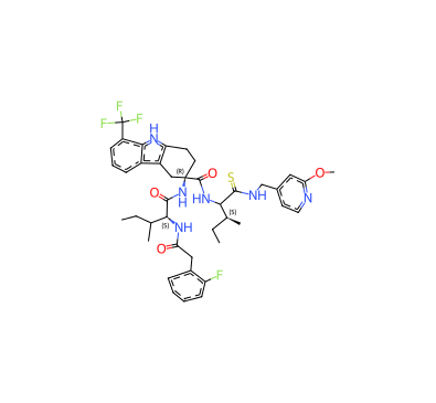 CCC(C)[C@H](NC(=O)Cc1ccccc1F)C(=O)N[C@]1(C(=O)NC(C(=S)NCc2ccnc(OC)c2)[C@@H](C)CC)CCc2[nH]c3c(C(F)(F)F)cccc3c2C1